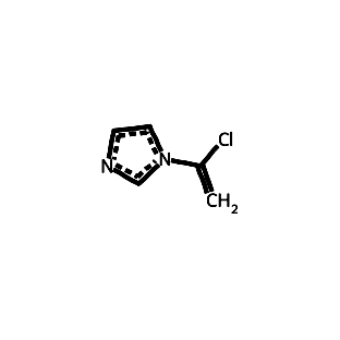 C=C(Cl)n1ccnc1